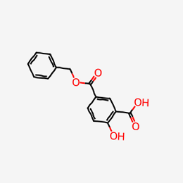 O=C(OCc1ccccc1)c1ccc(O)c(C(=O)O)c1